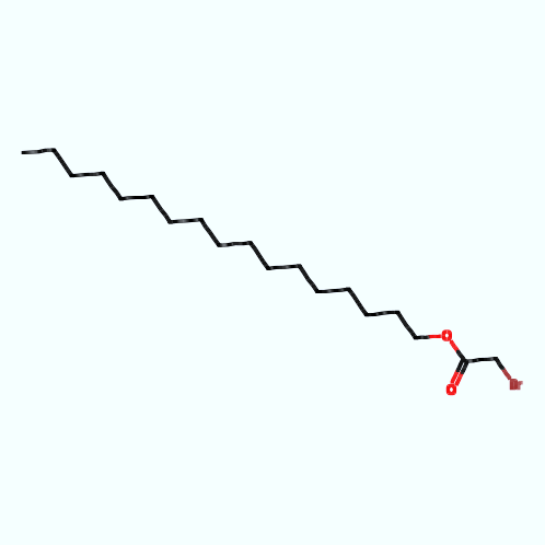 CCCCCCCCCCCCCCCCCOC(=O)CBr